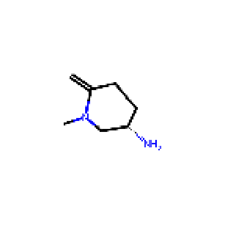 C=C1CC[C@H](N)CN1C